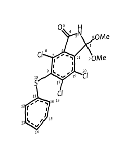 COC1(OC)NC(=O)c2c(Cl)c(Sc3ccccc3)c(Cl)c(Cl)c21